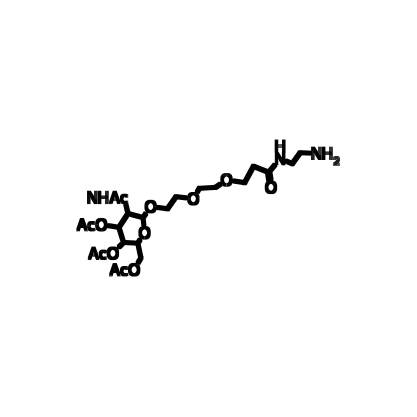 CC(=O)NC1C(OCCOCCOCCC(=O)NCCN)OC(COC(C)=O)C(OC(C)=O)C1OC(C)=O